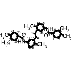 Cc1ccc(C(=O)Nc2ccc(C)c(CCc3cc(NC(=O)c4ccc(C)c(C)c4)ccc3C)c2)cc1C